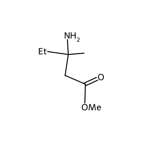 CCC(C)(N)CC(=O)OC